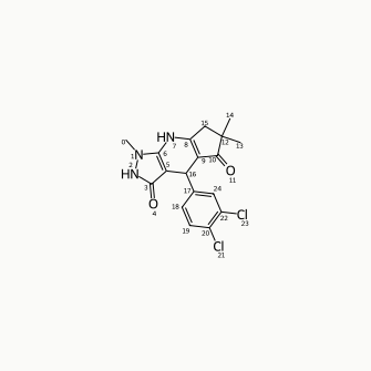 Cn1[nH]c(=O)c2c1NC1=C(C(=O)C(C)(C)C1)C2c1ccc(Cl)c(Cl)c1